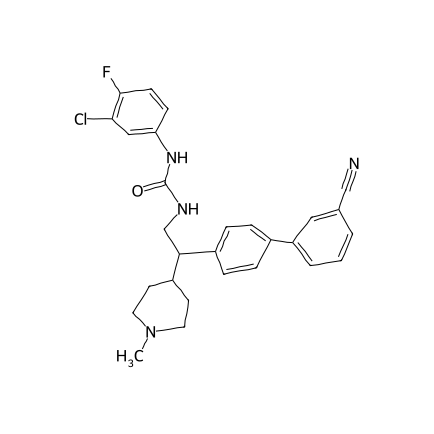 CN1CCC(C(CNC(=O)Nc2ccc(F)c(Cl)c2)c2ccc(-c3cccc(C#N)c3)cc2)CC1